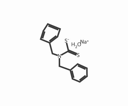 O.S=C([S-])N(Cc1ccccc1)Cc1ccccc1.[Na+]